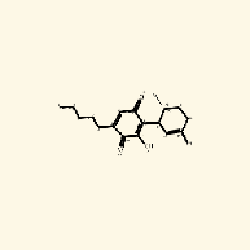 CCCCCC1=CC(=O)C(C2C=C(C)CC[C@H]2C)=C(O)C1=O